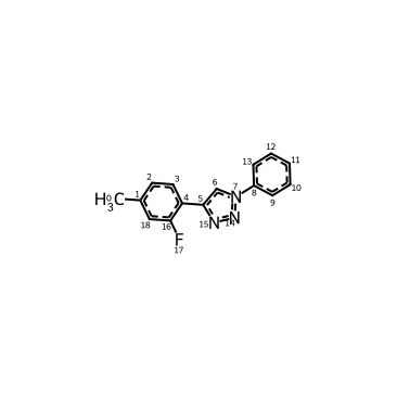 Cc1ccc(-c2cn(-c3ccccc3)nn2)c(F)c1